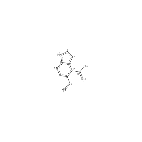 N=Cc1cnc2[nH]ccc2c1C(=N)Cl